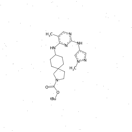 Cc1cnc(Nc2cnn(C)c2)nc1NC1CCC2(CC1)CCN(C(=O)OC(C)(C)C)C2